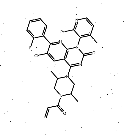 C=CC(=O)N1CC(C)N(c2nc(=O)n(-c3c(C)ccnc3C(C)C)c3nc(-c4ccccc4F)c(Cl)cc23)CC1C